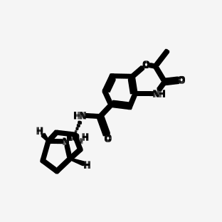 CC1Oc2ccc(C(=O)N[C@H]3C[C@H]4CC[C@@H](C3)N4C(=O)O)cc2NC1=O